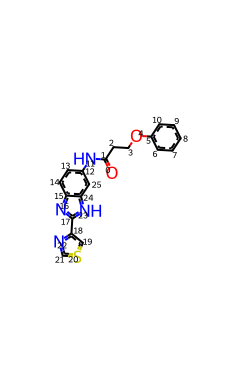 O=C(CCOc1ccccc1)Nc1ccc2nc(-c3cscn3)[nH]c2c1